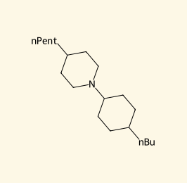 CCCCCC1CCN(C2CCC(CCCC)CC2)CC1